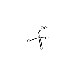 O=P([O-])([O-])Cl.[Zn+2]